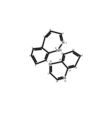 C1=Cc2ccccc2NN=C1.c1ccc2nccnc2c1